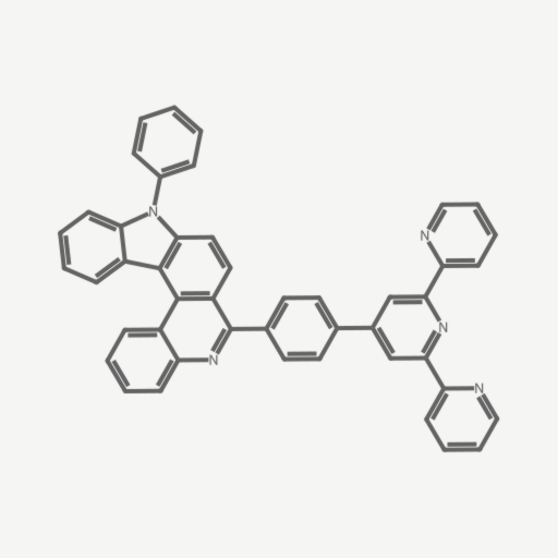 c1ccc(-n2c3ccccc3c3c4c(ccc32)c(-c2ccc(-c3cc(-c5ccccn5)nc(-c5ccccn5)c3)cc2)nc2ccccc24)cc1